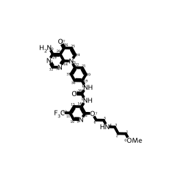 COCCCNCCOc1ncc(C(F)(F)F)cc1NC(=O)Nc1ccc(-n2ccc(=O)c3c(N)ncnc32)cc1